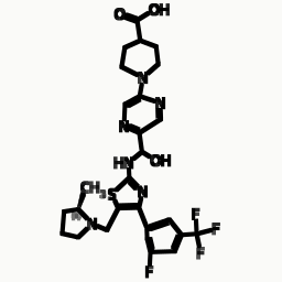 C[C@@H]1CCCN1Cc1sc(NC(O)c2cnc(N3CCC(C(=O)O)CC3)cn2)nc1-c1cc(F)cc(C(F)(F)F)c1